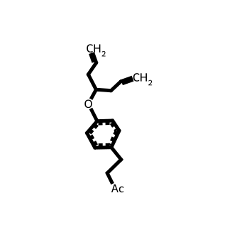 C=CCC(CC=C)Oc1ccc(CCC(C)=O)cc1